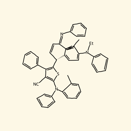 C\C=C/C(/C=C\[C@H](c1ccc(N(CC)c2ccccc2)cc1)c1sc(N(c2ccccc2)c2ccccc2C)c(C#N)c1-c1ccccc1)=N\c1ccccc1